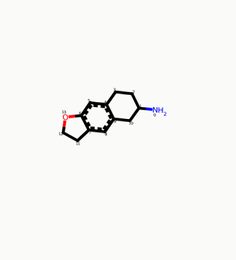 NC1CCc2cc3c(cc2C1)CCO3